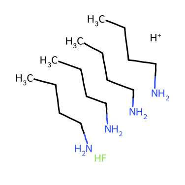 CCCCN.CCCCN.CCCCN.CCCCN.F.[H+]